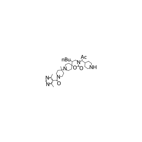 CCCCC1CN(C(C(C)=O)C2CCNCC2)C(=O)OC12CCN(C1(C)CCN(C(=O)c3c(C)ncnc3C)CC1)CC2